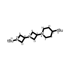 CC(C)(C)C1CCN(C2CN(C3CN(C(C)(C)C)C3)C2)CC1